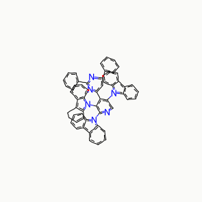 C1=Cc2c(c3ccccc3n2-c2c(-n3c4ccccc4c4ccccc43)ncc(-n3c4ccccc4c4ccccc43)c2-c2cc(-c3ccccc3)nc(-c3ccccc3)n2)CC1